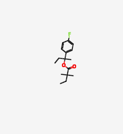 CCC(C)(C)C(=O)OC(C)(CC)c1ccc(F)cc1